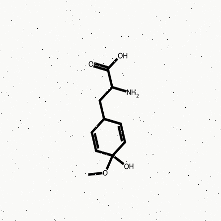 COC1(O)C=CC(CC(N)C(=O)O)C=C1